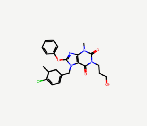 CC1CC(Cn2c(Oc3ccccc3)nc3c2c(=O)n(CCCO)c(=O)n3C)=CC=C1Cl